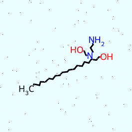 CCCCCCCCCCCCCCCCCC(CCO)N(CCO)CCCN